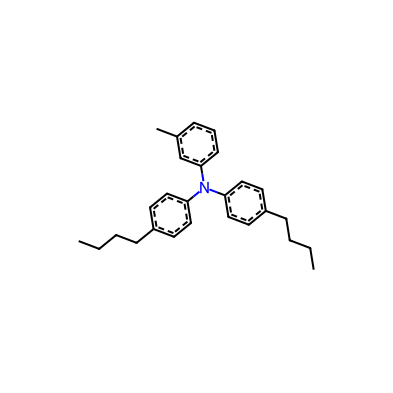 CCCCc1ccc(N(c2ccc(CCCC)cc2)c2cccc(C)c2)cc1